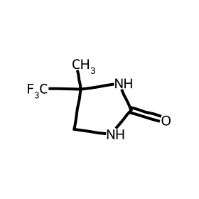 CC1(C(F)(F)F)CNC(=O)N1